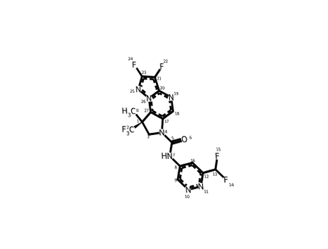 C[C@@]1(C(F)(F)F)CN(C(=O)Nc2cnnc(C(F)F)c2)c2cnc3c(F)c(F)nn3c21